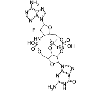 CC(C)(C)[Si](C)(C)OC1C2COP(=O)(O)NC3C(COP(=O)(O)OC1C(n1cnc4c(=O)[nH]c(N)nc41)O2)OC(n1cnc2c(N)ncnc21)C3F